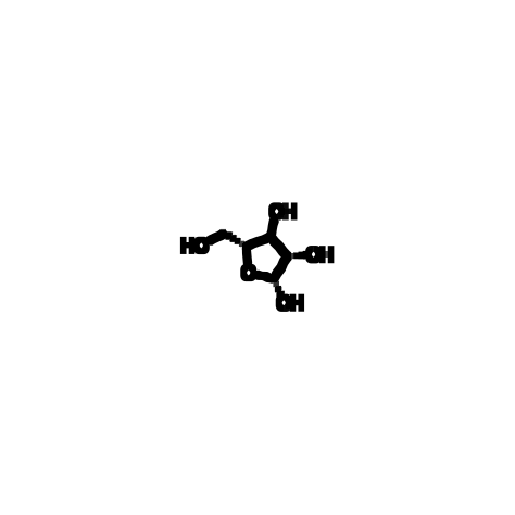 OC[C@H]1O[C@@H](O)[C@@H](O)C1O